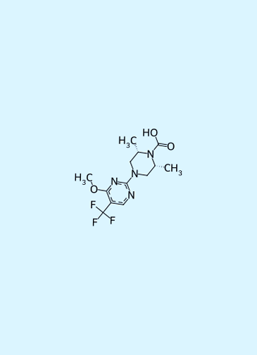 COc1nc(N2C[C@@H](C)N(C(=O)O)[C@@H](C)C2)ncc1C(F)(F)F